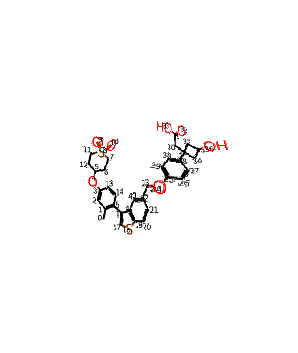 Cc1cc(OC2CCS(=O)(=O)CC2)ccc1-c1csc2ccc(COc3ccc(C4(CC(=O)O)CC(O)C4)cc3)cc12